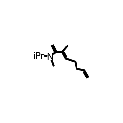 C=CCC/C=C(\C)C(=C)N(C)C(C)C